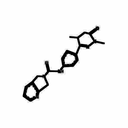 CC1CC(=O)N(C)N=C1c1ccc(NC(=O)N2Cc3cccnc3C2)cc1